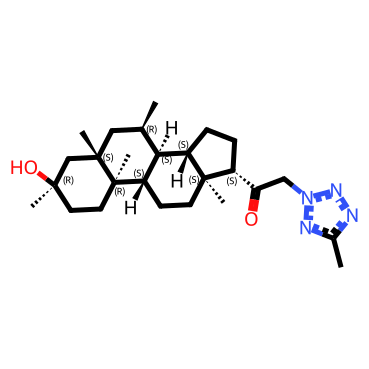 Cc1nnn(CC(=O)[C@H]2CC[C@H]3[C@@H]4[C@H](C)C[C@@]5(C)C[C@](C)(O)CC[C@]5(C)[C@H]4CC[C@]23C)n1